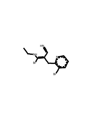 CCN/C(Br)=C(\C=N)Cc1ncccc1Br